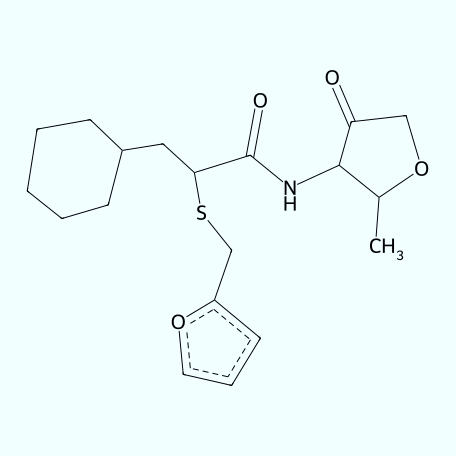 CC1OCC(=O)C1NC(=O)C(CC1CCCCC1)SCc1ccco1